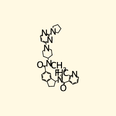 CN(C(=O)c1ccc2c(c1)C(NC(=O)c1cccnc1C(F)(F)F)CC2)C1CCN(c2ccnc(N3CCCC3)n2)CC1